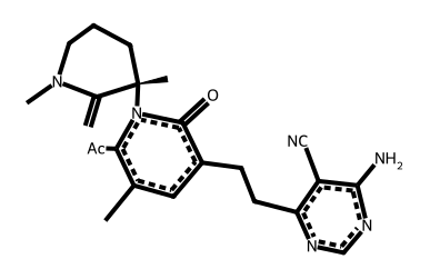 C=C1N(C)CCC[C@]1(C)n1c(C(C)=O)c(C)cc(CCc2ncnc(N)c2C#N)c1=O